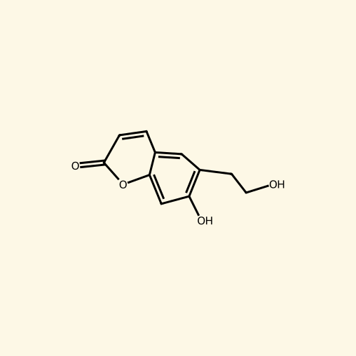 O=c1ccc2cc(CCO)c(O)cc2o1